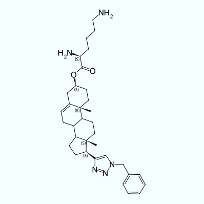 C[C@]12CC[C@H](OC(=O)[C@@H](N)CCCCN)CC1=CCC1C2CC[C@@]2(C)C1CC[C@@H]2c1cn(Cc2ccccc2)nn1